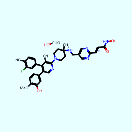 COc1ccc(-c2cnc(N3CCC(C)(NCc4cnc(/C=C/C(=O)NO)nc4)CC3)c(C#N)c2-c2ccc(C#N)c(F)c2)cc1O.O=CO